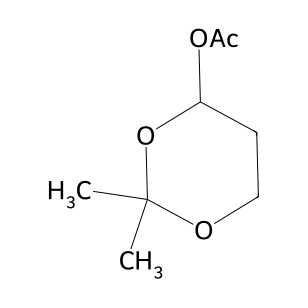 CC(=O)OC1CCOC(C)(C)O1